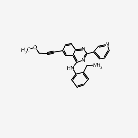 COCC#Cc1ccc2nc(-c3cccnc3)nc(Nc3ccccc3CN)c2c1